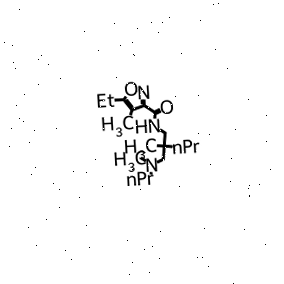 CCCN(C)CC(C)(CCC)CNC(=O)c1noc(CC)c1C